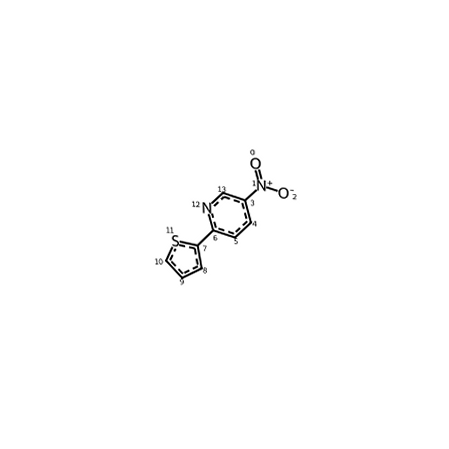 O=[N+]([O-])c1ccc(-c2cccs2)nc1